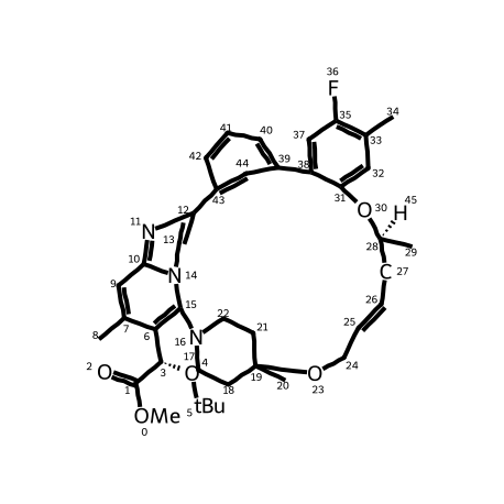 COC(=O)[C@@H](OC(C)(C)C)c1c(C)cc2nc3cn2c1N1CCC(C)(CC1)OC/C=C/C[C@H](C)Oc1cc(C)c(F)cc1-c1cccc-3c1